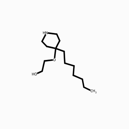 CCCCCCCC1(OCCO)CCNCC1